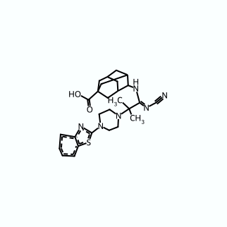 CC(C)(/C(=N/C#N)NC1C2CC3CC1CC(C(=O)O)(C3)C2)N1CCN(c2nc3ccccc3s2)CC1